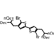 CCCCCCCCCCC(CCCCCCCC)Cc1cc(-c2cc(CC(CCCCCCCC)CCCCCCCCCC)c(Br)s2)sc1Br